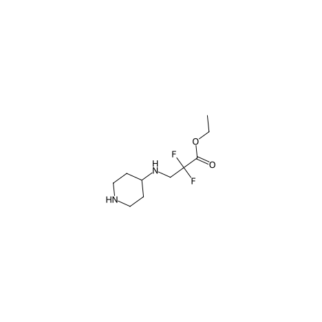 CCOC(=O)C(F)(F)CNC1CCNCC1